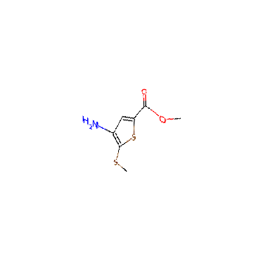 COC(=O)c1cc(N)c(SC)s1